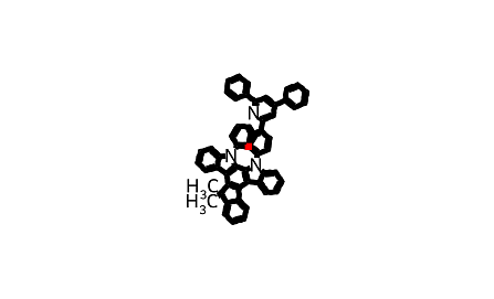 CC1(C)c2ccccc2-c2c1c1c3ccccc3n(-c3ccccc3)c1c1c2c2ccccc2n1-c1ccc(-c2cc(-c3ccccc3)cc(-c3ccccc3)n2)cc1